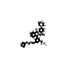 COc1cc(C=NOCc2ccccc2)cc(-c2nn(-c3cc(N4CCOCC4)ccc3[N+](=O)[O-])c(=O)c3ccccc23)c1